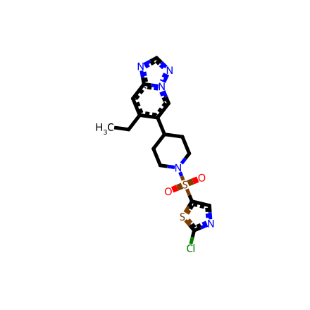 CCc1cc2ncnn2cc1C1CCN(S(=O)(=O)c2cnc(Cl)s2)CC1